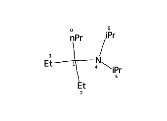 CCCC(CC)(CC)N(C(C)C)C(C)C